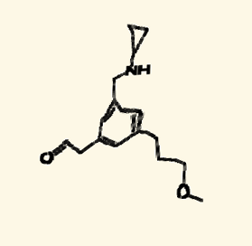 COCCCc1cc(CC=O)cc(CNC2CC2)c1